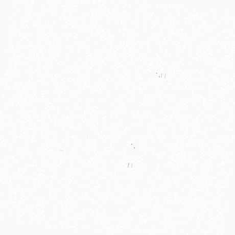 COc1cnn(C)c1-c1cc(N)ccc1O.[Pd]